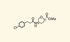 COC(=O)[C@@H]1CC[C@@H](NC(=O)CCc2ccc(Cl)cc2)CO1